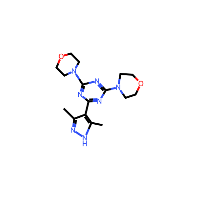 Cc1n[nH]c(C)c1-c1nc(N2CCOCC2)nc(N2CCOCC2)n1